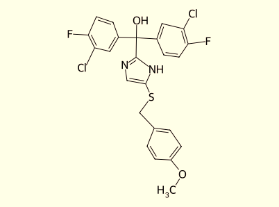 COc1ccc(CSc2cnc(C(O)(c3ccc(F)c(Cl)c3)c3ccc(F)c(Cl)c3)[nH]2)cc1